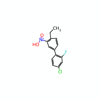 CCc1ccc(-c2ccc(Cl)cc2F)cc1[N+](=O)O